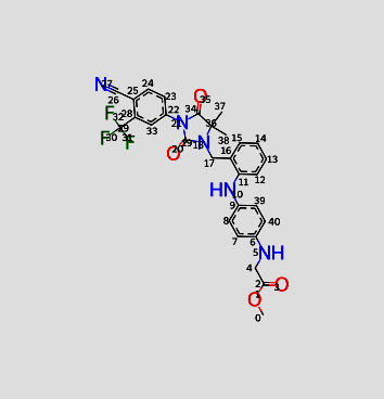 COC(=O)CNc1ccc(Nc2ccccc2CN2C(=O)N(c3ccc(C#N)c(C(F)(F)F)c3)C(=O)C2(C)C)cc1